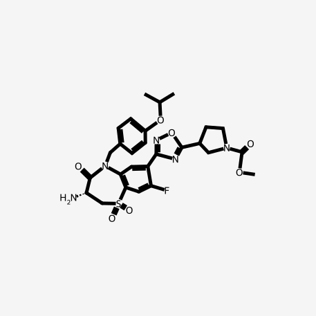 COC(=O)N1CCC(c2nc(-c3cc4c(cc3F)S(=O)(=O)C[C@H](N)C(=O)N4Cc3ccc(OC(C)C)cc3)no2)C1